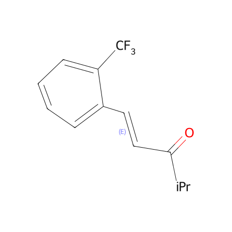 CC(C)C(=O)/C=C/c1ccccc1C(F)(F)F